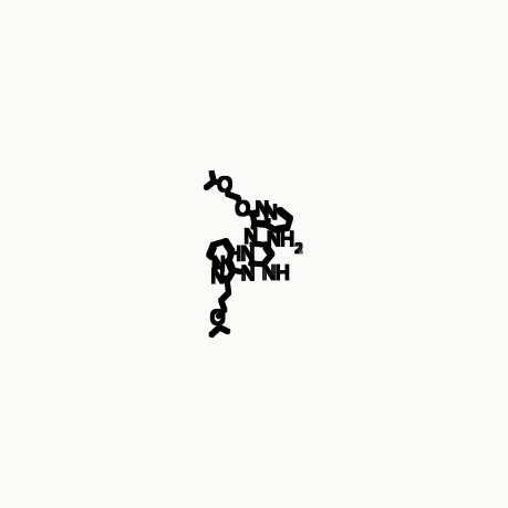 CC(C)OCCCc1nn2ccccc2c1/N=C1\N/C(=N/c2c(OCCOC(C)C)nn3ccccc23)C(N)=CC1=N